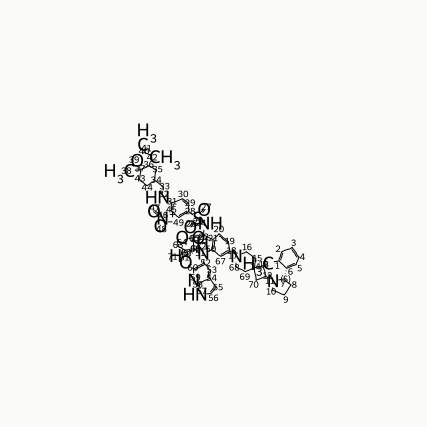 Cc1ccccc1[C@@H]1CCCN1C1CC2(CCN(c3ccc(C(=O)NS(=O)(=O)c4ccc(NCC5CCC(C)(OC(C)C)CC5)c([N+](=O)[O-])c4)c(N4c5cc6cc[nH]c6nc5O[C@@H]5COC[C@H]54)c3)CC2)C1